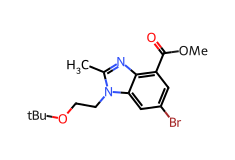 COC(=O)c1cc(Br)cc2c1nc(C)n2CCOC(C)(C)C